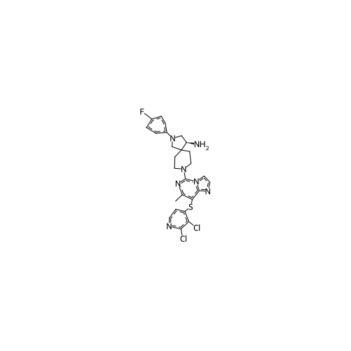 Cc1nc(N2CCC3(CC2)CN(c2ccc(F)cc2)C[C@H]3N)n2ccnc2c1Sc1ccnc(Cl)c1Cl